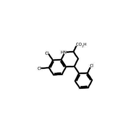 O=C(O)C1CC(c2ccccc2Cl)c2ccc(Cl)c(Cl)c2N1